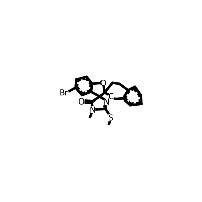 CSC1=NC2(C(=O)N1C)c1cc(Br)ccc1OC21CCc2ccccc2CC1